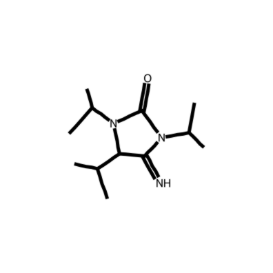 CC(C)C1C(=N)N(C(C)C)C(=O)N1C(C)C